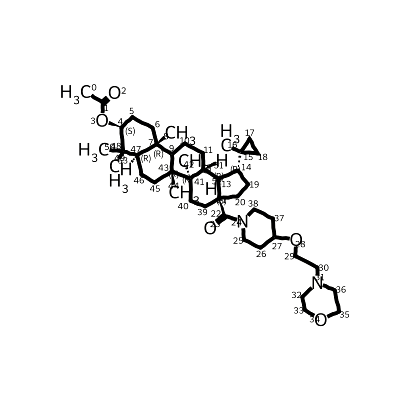 CC(=O)O[C@H]1CC[C@]2(C)C3CC[C@@H]4[C@H]5[C@H](C6(C)CC6)CC[C@]5(C(=O)N5CCC(OCCN6CCOCC6)CC5)CC[C@@]4(C)[C@]3(C)CC[C@H]2C1(C)C